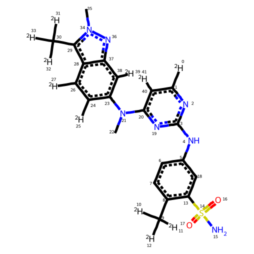 [2H]c1nc(Nc2ccc(C([2H])([2H])[2H])c(S(N)(=O)=O)c2)nc(N(C)c2c([2H])c([2H])c3c(C([2H])([2H])[2H])n(C)nc3c2[2H])c1[2H]